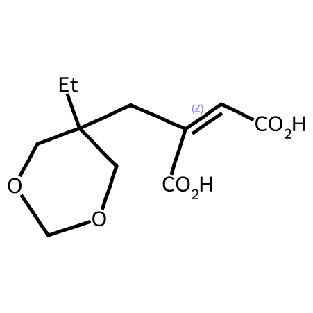 CCC1(C/C(=C/C(=O)O)C(=O)O)COCOC1